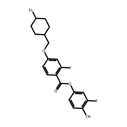 CCC1CCC(COc2ccc(C(=O)Oc3ccc(C#N)c(F)c3)c(F)c2)CC1